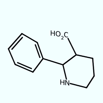 O=C(O)C1CCCNC1c1ccccc1